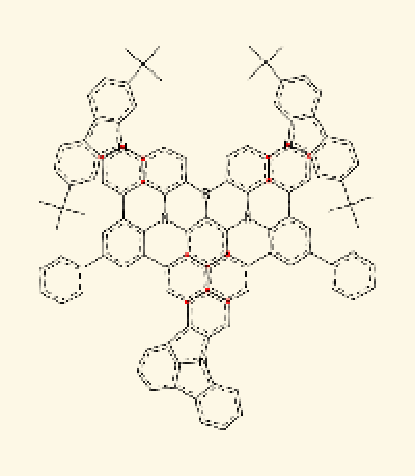 CC(C)(C)c1ccc2c3ccc(C(C)(C)C)cc3n(-c3ccc4c(c3)N(c3c(-c5ccccc5)cc(-c5ccccc5)cc3-c3ccccc3)c3cc(-c5ccc6c(c5)c5cccc7c8ccccc8n6c75)cc5c3B4c3ccc(-n4c6cc(C(C)(C)C)ccc6c6ccc(C(C)(C)C)cc64)cc3N5c3c(-c4ccccc4)cc(-c4ccccc4)cc3-c3ccccc3)c2c1